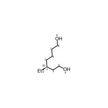 CC[C@H](CCO)CCCCO